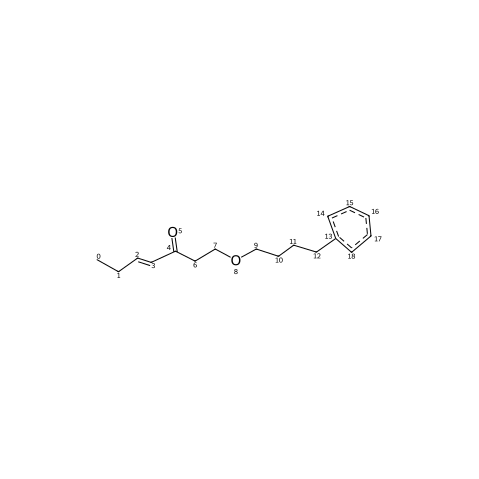 CCC=CC(=O)CCOCCCCc1ccccc1